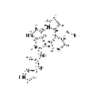 O=C(Nc1cc[nH]n1)Nc1nc2[nH]nc(-n3cncc3-c3ccccc3CI)c2s1